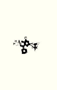 C[N+]1(C)Cc2c(Cl)cc(Cl)cc2C(c2ccccc2)C1.O=C([O-])C(F)(F)F